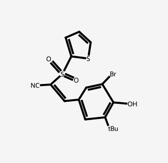 CC(C)(C)c1cc(/C=C(/C#N)S(=O)(=O)c2cccs2)cc(Br)c1O